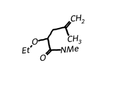 C=C(C)CC(OCC)C(=O)NC